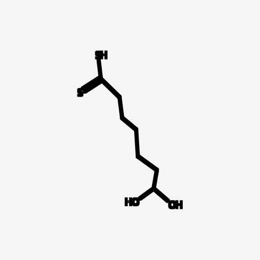 OC(O)CCCCCC(=S)S